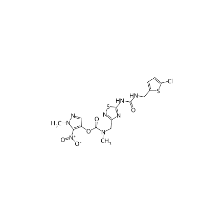 CN(Cc1nsc(NC(=O)NCc2ccc(Cl)s2)n1)C(=O)Oc1cnn(C)c1[N+](=O)[O-]